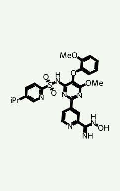 COc1ccccc1Oc1c(NS(=O)(=O)c2ccc(C(C)C)cn2)nc(-c2ccnc(C(=N)NO)c2)nc1OC